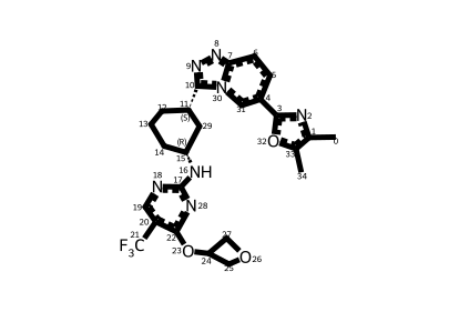 Cc1nc(-c2ccc3nnc([C@H]4CCC[C@@H](Nc5ncc(C(F)(F)F)c(OC6COC6)n5)C4)n3c2)oc1C